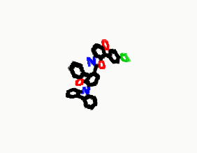 Clc1ccc2c(c1)oc1ccc3nc(-c4ccc(-n5c6ccccc6c6ccccc65)c5oc6ccccc6c45)oc3c12